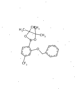 CC1(C)OB(c2ccc(C(F)(F)F)cc2OCc2ccccc2)OC1(C)C